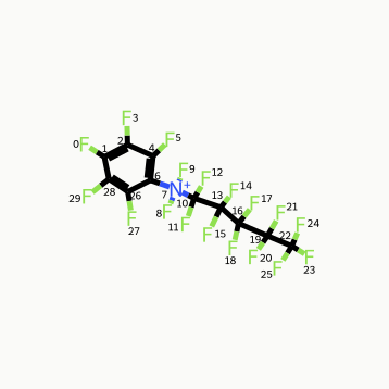 Fc1c(F)c(F)c([N+](F)(F)C(F)(F)C(F)(F)C(F)(F)C(F)(F)C(F)(F)F)c(F)c1F